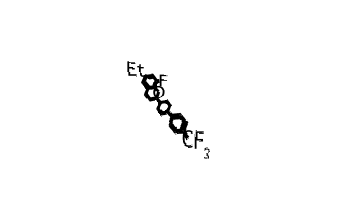 CCc1cc(F)c2c(c1)CCC(C1CCC(c3ccc(C(F)(F)F)cc3)CC1)O2